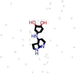 Oc1ccc(Nc2ccnc3[nH]ccc23)cc1O